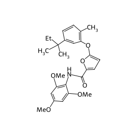 CCC(C)(C)c1ccc(C)c(Oc2ccc(C(=O)Nc3c(OC)cc(OC)cc3OC)o2)c1